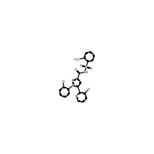 Cc1ccccc1S(=O)(=O)NC(=O)c1cc(-c2ncccc2Cl)n(-c2ccccc2Cl)n1